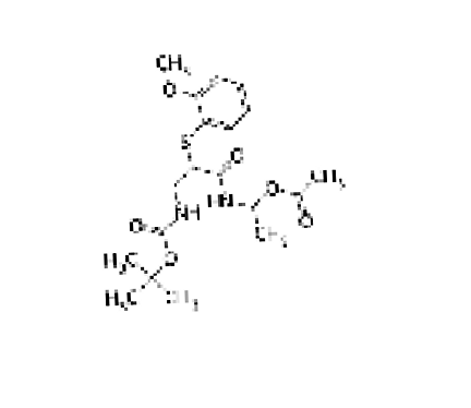 COc1ccccc1SC(CNC(=O)OC(C)(C)C)C(=O)NC(C)OC(C)=O